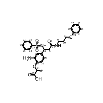 Nc1cc(C(CC(=O)NCCCOc2ccccc2)NS(=O)(=O)c2ccccc2)ccc1OC(F)C(=O)O